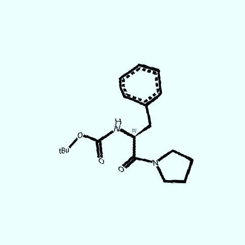 CC(C)(C)OC(=O)N[C@@H](Cc1ccccc1)C(=O)N1CCCC1